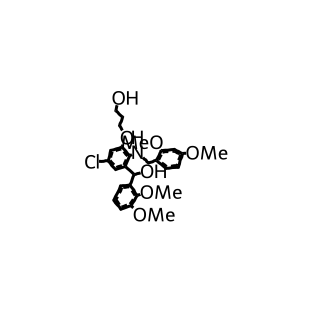 COc1ccc(CNc2c(OCCCO)cc(Cl)cc2C(O)c2cccc(OC)c2OC)c(OC)c1